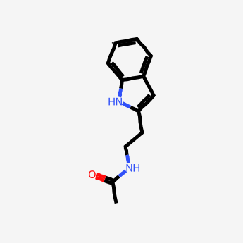 CC(=O)NCCc1cc2cc[c]cc2[nH]1